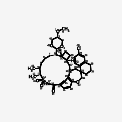 CO[C@H]1CO[C@@H]([C@H]2CCC[C@H](C)[C@@H](C)S(=O)(=O)NC(=O)c3ccc4c(c3)N(C[C@@H]3CC[C@H]32)C[C@@]2(CCCc3cc(Cl)ccc32)CO4)OC1